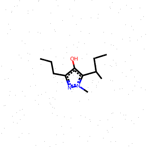 CCCc1nn(C)c(C(C)CC)c1O